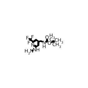 CC(C)(C)OC(=O)NCc1cc(NN)nc(C(F)(F)F)c1